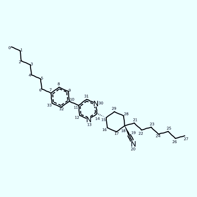 CCCCCCCc1ccc(-c2cnc([C@H]3CC[C@@](C#N)(CCCCCCC)CC3)nc2)cc1